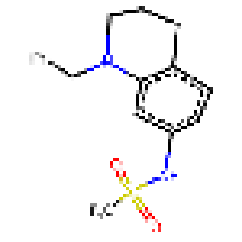 CC(C)CN1CCCc2ccc(NS(=O)(=O)C(F)(F)F)cc21